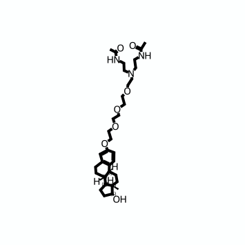 CC(=O)NCCN(CCNC(C)=O)CCOCCOCCOCCOc1ccc2c(c1)CC[C@@H]1[C@@H]2CC[C@]2(C)[C@@H](O)CC[C@@H]12